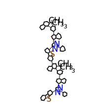 CC1(C)c2ccc(-c3ccc(-c4cc(-c5cccc6c5sc5cc(-c7cc8c(c9ccccc79)-c7cc(-c9ccc(-c%10cc(-c%11ccc%12c(c%11)sc%11ccccc%11%12)nc(-c%11ccccc%11)n%10)c%10ccccc9%10)ccc7C8(C)C)ccc56)nc(-c5ccccc5)n4)c4ccccc34)cc2-c2c1ccc1ccccc21